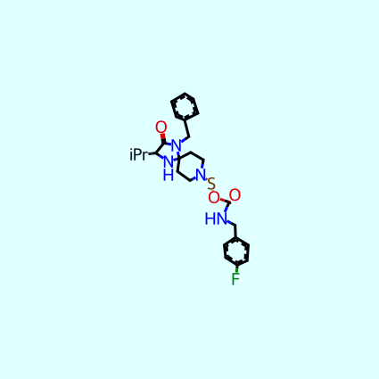 CC(C)C1NC2(CCN(SOC(=O)NCc3ccc(F)cc3)CC2)N(Cc2ccccc2)C1=O